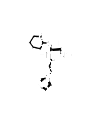 O=[N+]([O-])C=C(NCCCn1ccnc1)NC1CCCCC1